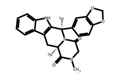 [2H][C@@]1(c2ccc3c(c2)OCO3)c2[nH]c3ccccc3c2C[C@]2([2H])C(=O)N(C)CC(=O)N12